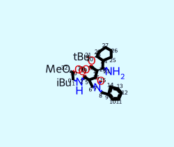 CC[C@H](C)[C@H](NC(=O)C1CN(Cc2ccccc2)OC1[C@@H](C(=O)OC(C)(C)C)C(N)C1CCCCC1)C(=O)OC